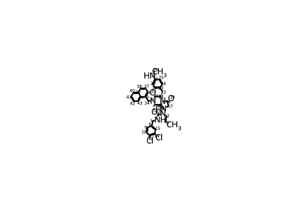 CCCN(C(=O)NCc1ccc(Cl)c(Cl)c1)N1CC(=O)N2[C@@H](Cc3ccc(NC)cc3)C(=O)N(Cc3cccc4ccccc34)C[C@@H]21